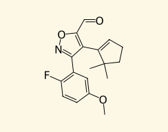 COc1ccc(F)c(-c2noc(C=O)c2C2=CCCC2(C)C)c1